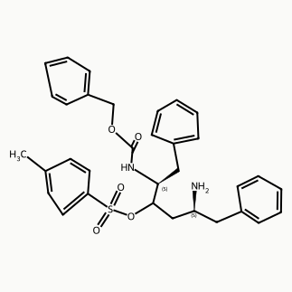 Cc1ccc(S(=O)(=O)OC(C[C@@H](N)Cc2ccccc2)[C@H](Cc2ccccc2)NC(=O)OCc2ccccc2)cc1